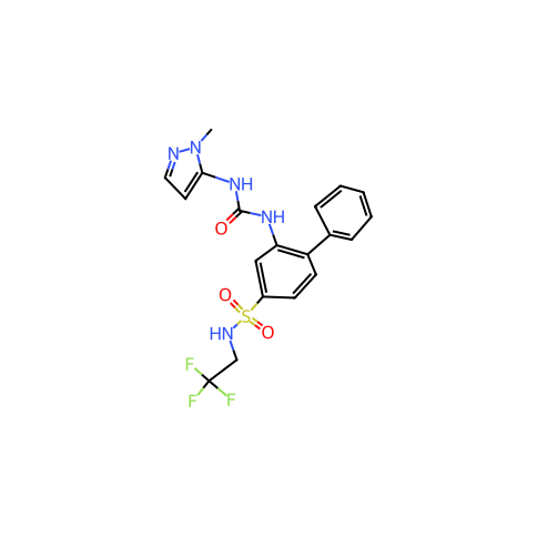 Cn1nccc1NC(=O)Nc1cc(S(=O)(=O)NCC(F)(F)F)ccc1-c1ccccc1